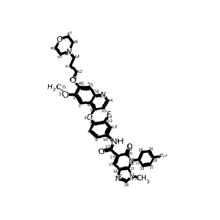 COc1cc2c(Oc3ccc(NC(=O)c4cc5ncn(C)c5n(-c5ccc(F)cc5)c4=O)cc3F)ccnc2cc1OCCCN1CCOCC1